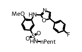 CCCCCNS(=O)(=O)c1ccc(OC)c(Nc2ncc(-c3ccc(F)cc3)o2)c1